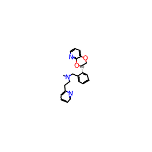 CN(CCc1ccccn1)Cc1ccccc1[C@H]1COc2cccnc2O1